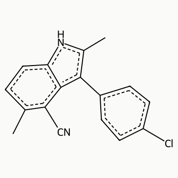 Cc1ccc2[nH]c(C)c(-c3ccc(Cl)cc3)c2c1C#N